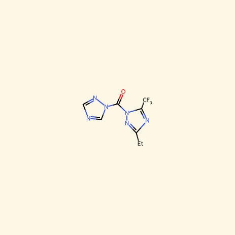 CCc1nc(C(F)(F)F)n(C(=O)n2cncn2)n1